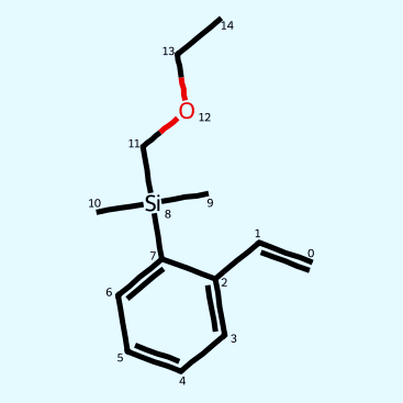 C=Cc1ccccc1[Si](C)(C)COCC